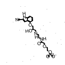 N#Cc1cc2c(OCC(O)CNCCNC(=O)COCCO[N+](=O)[O-])cccc2[nH]1